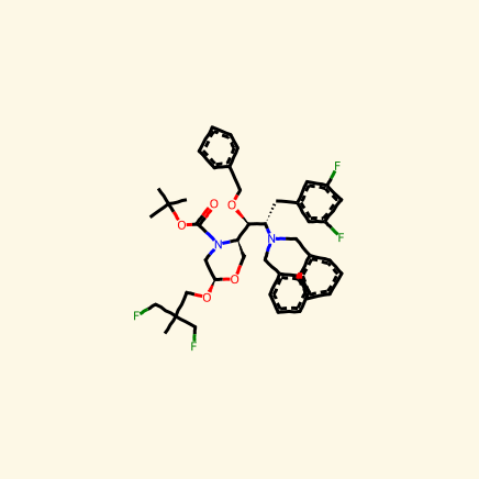 CC(CF)(CF)CO[C@H]1CN(C(=O)OC(C)(C)C)[C@@H]([C@@H](OCc2ccccc2)[C@H](Cc2cc(F)cc(F)c2)N(Cc2ccccc2)Cc2ccccc2)CO1